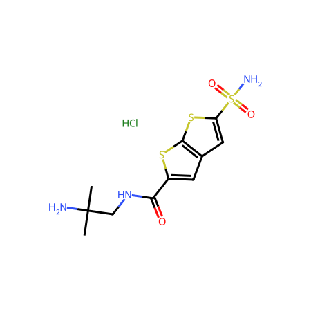 CC(C)(N)CNC(=O)c1cc2cc(S(N)(=O)=O)sc2s1.Cl